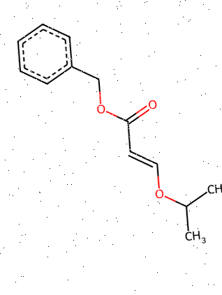 CC(C)OC=CC(=O)OCc1ccccc1